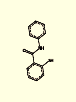 O=C(Nc1ccccc1)c1ccccc1S